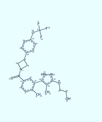 Cc1ccc(C(=O)N2CC(c3ccc(OC(F)(F)F)cc3)C2)cc1-c1[nH]nc(OCCO)c1C